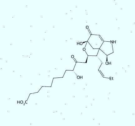 CC/C=C\C[C@@H]1[C@@H](CC(=O)[C@H](O)CCCCCCCC(=O)O)O[C@@]2(O)CC13C(=CC2=O)NC[C@H]3O